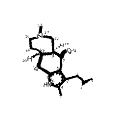 CCCc1c(C)[nH]c2c1C(=O)[C@@H]1CN(C)CC[C@H]1C2